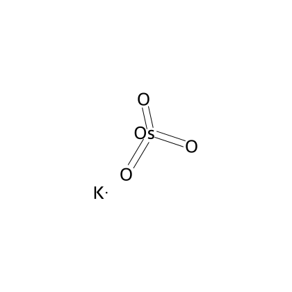 [K].[O]=[Os](=[O])=[O]